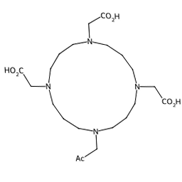 CC(=O)CN1CCCN(CC(=O)O)CCCN(CC(=O)O)CCCN(CC(=O)O)CCC1